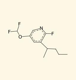 CCCC(C)c1cc(OC(F)F)cnc1F